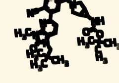 Cn1c(=O)n(CC(C)(C)C)c2ccc(-c3cc(CN4CC5C(C4)C5NC(=O)OC(C)(C)C)ccc3C#N)nc21